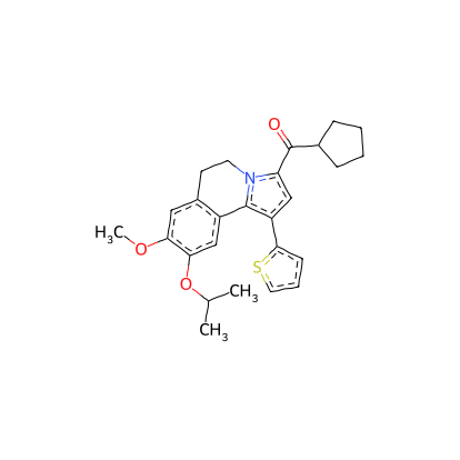 COc1cc2c(cc1OC(C)C)-c1c(-c3cccs3)cc(C(=O)C3CCCC3)n1CC2